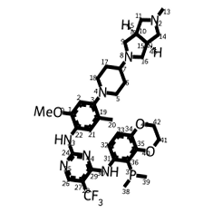 COc1cc(N2CCC(N3C[C@H]4CN(C)C[C@H]4C3)CC2)c(C)cc1Nc1ncc(C(F)(F)F)c(Nc2ccc3c(c2P(C)C)OCCO3)n1